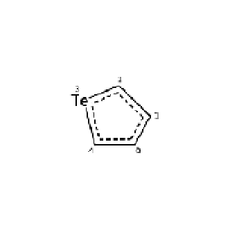 c1cc[te]c1